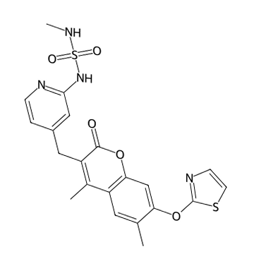 CNS(=O)(=O)Nc1cc(Cc2c(C)c3cc(C)c(Oc4nccs4)cc3oc2=O)ccn1